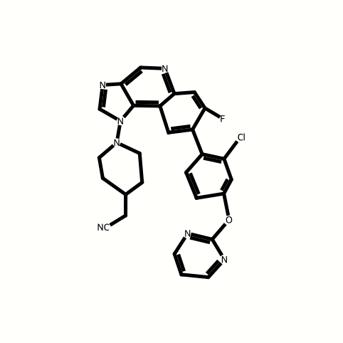 N#CCC1CCN(n2cnc3cnc4cc(F)c(-c5ccc(Oc6ncccn6)cc5Cl)cc4c32)CC1